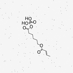 CC=CC(=O)OCCCCCC(=O)OP(=O)(O)O